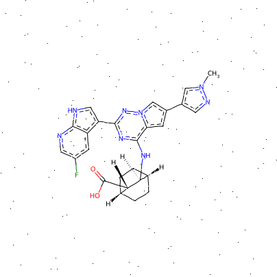 Cn1cc(-c2cc3c(N[C@H]4[C@H]5CC[C@H](CC5)[C@@H]4C(=O)O)nc(-c4c[nH]c5ncc(F)cc45)nn3c2)cn1